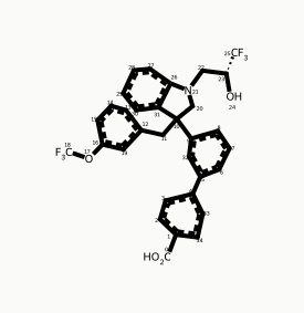 O=C(O)c1ccc(-c2cccc(C3(Cc4cccc(OC(F)(F)F)c4)CN(C[C@@H](O)C(F)(F)F)c4ccccc43)c2)cc1